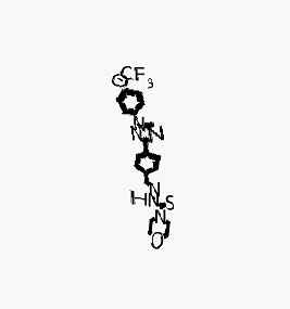 FC(F)(F)Oc1ccc(-n2cnc(-c3ccc(/C=N/NC(=S)N4CCOCC4)cc3)n2)cc1